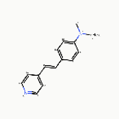 CCCCCCN(C)c1ccc(C=Cc2ccncc2)cc1